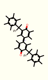 CC1=C(C)/C(=C2/C(C)=C(C)C(=O)C(C(C)(c3c(C)c(C)c(C)c(C)c3C)C(C)C)=C2C)C(C)=C(C(C)(c2c(C)c(C)c(C)c(C)c2C)C(C)C)C1=O